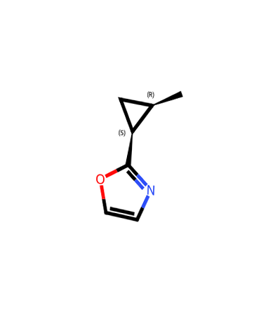 C[C@@H]1C[C@@H]1c1ncco1